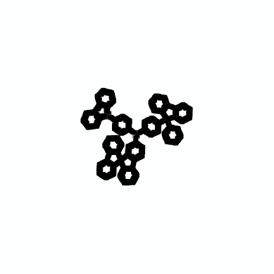 c1ccc(C2(c3ccc(N(c4ccc(-n5c6ccccc6c6ccccc65)cc4)c4ccc5c(c4)C4(c6ccccc6-c6ccccc64)c4ccccc4-5)cc3)c3ccccc3-c3ccccc32)cc1